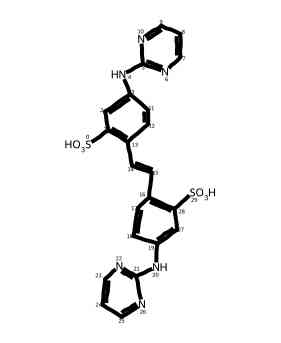 O=S(=O)(O)c1cc(Nc2ncccn2)ccc1/C=C/c1ccc(Nc2ncccn2)cc1S(=O)(=O)O